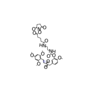 COc1cc(OC)c(/C=C/S(=O)(=O)Cc2ccc(OC)c(OC(=O)NCCNC(=O)CCCC(=O)ON3C(=O)CCC3=O)c2)c(OC)c1